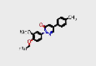 COc1cc(-n2ncc(-c3ccc(C)cc3)cc2=O)ccc1OCC(C)(C)C